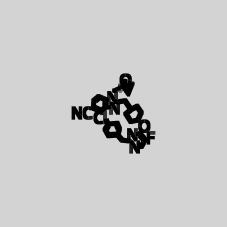 N#Cc1ccc2c(c1)nc(CC1CCC(Oc3nc(Cc4ccc(Cl)cc4)ncc3F)CC1)n2C[C@@H]1CCO1